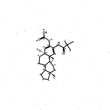 CC(C)(C)C(=O)NC1=C[C@]2(C)C3CC[C@]4(C)CCCC4C3CC[C@H]2C=C1OC(=O)O